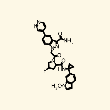 Cn1ccc2ccc(C3(NC(=O)C4CC(F)CN4C(=O)Cn4nc(C(N)=O)c5cc(-c6ccnnc6)ccc54)CC3)cc21